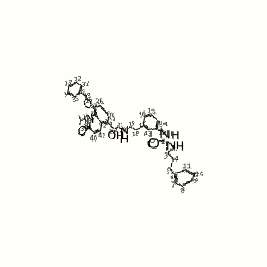 O=C(NCCCc1ccccc1)Nc1cccc(CCNC[C@@H](O)c2ccc(OCc3ccccc3)c3[nH]c(=O)ccc23)c1